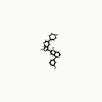 Fc1cccc(-c2nccc3[nH]c(-c4n[nH]c5ncc(C6=CCNCC6)cc45)cc23)c1